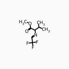 COC(=O)C(/N=C/C(F)(F)F)C(C)C